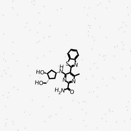 Cc1nc(C(N)=O)nc(N[C@@H]2C[C@H](CO)[C@@H](O)C2)c1-c1nc2ccccc2s1